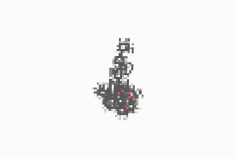 c1ccc(-c2ccc3c(c2)oc2cc(-c4nc(-c5ccccc5)nc(-n5c6ccccc6c6ccc7c8ccccc8n(-c8ccccc8-c8ccccc8)c7c65)n4)ccc23)cc1